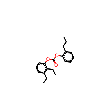 CCCc1ccccc1OC(=O)Oc1cccc(CC)c1CC